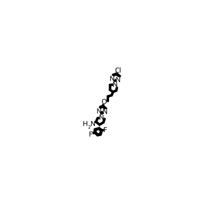 N[C@H]1CN(c2ncc(OCCCC3CCN(c4ncc(Cl)cn4)CC3)cn2)CC[C@@H]1c1cc(F)ccc1F